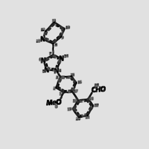 COc1cc(-n2nnc(-c3ccccn3)n2)ccc1-c1ccccc1C=O